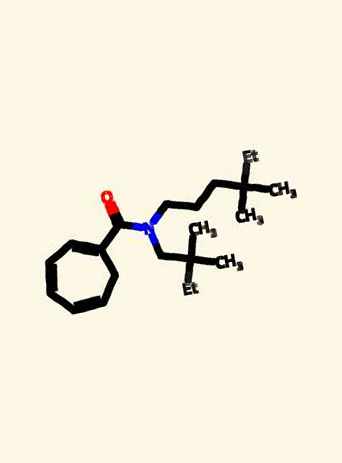 CCC(C)(C)CCCN(CC(C)(C)CC)C(=O)C1=CC=CC=CC1